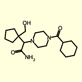 NC(=O)C(N1CCN(C(=O)C2CCCCC2)CC1)C1(CO)CCCC1